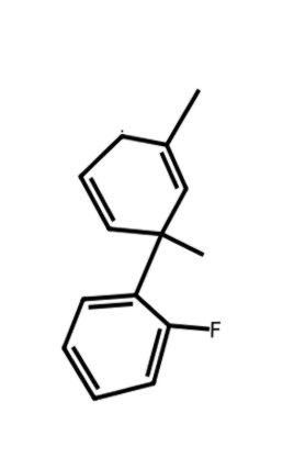 CC1=CC(C)(c2ccccc2F)C=C[CH]1